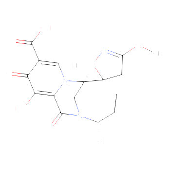 COC1=NO[C@@]2(CC[C@H](C)N3C[C@H]2n2cc(C(=O)O)c(=O)c(O)c2C3=O)C1